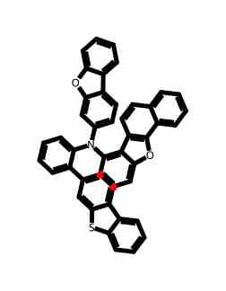 c1ccc(N(c2ccc3c(c2)oc2ccccc23)c2cccc3oc4c5ccccc5ccc4c23)c(-c2ccc3c(c2)sc2ccccc23)c1